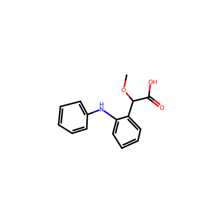 COC(C(=O)O)c1ccccc1Nc1ccccc1